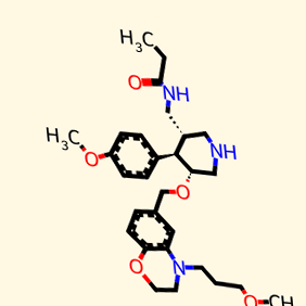 CCC(=O)NC[C@@H]1CNC[C@H](OCc2ccc3c(c2)N(CCCOC)CCO3)[C@H]1c1ccc(OC)cc1